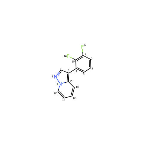 Fc1cccc(-c2cnn3ccccc23)c1F